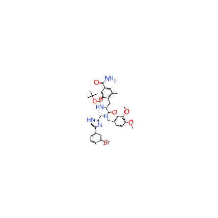 COc1ccc(CN(C(=O)[C@H](Cc2c(C)cc(C(N)=O)cc2C)NC(=O)OC(C)(C)C)[C@@H](C)c2nc(-c3cccc(Br)c3)c[nH]2)cc1OC